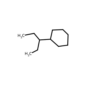 CCC(CC)C1CCCCC1